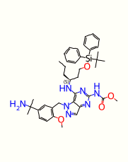 CCC[C@@H](CCO[Si](c1ccccc1)(c1ccccc1)C(C)(C)C)Nc1nc(NC(=O)OC)nc2cnn(Cc3cc(C(C)(C)N)ccc3OC)c12